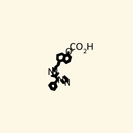 O=C(O)COc1cccc2c1CCCC2=CCn1cc(C(c2ccccc2)n2ccnc2)cn1